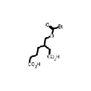 CCC(=O)OCC(CCCC(=O)O)CC(=O)O